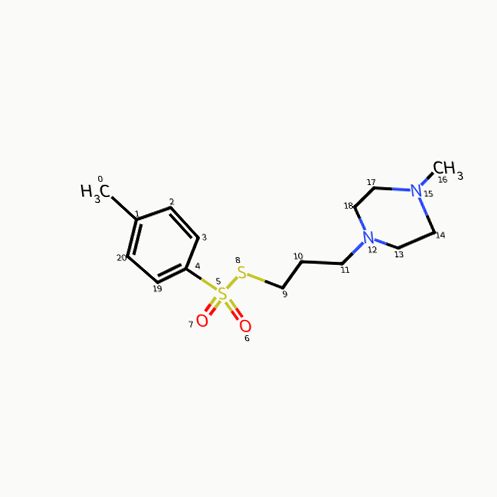 Cc1ccc(S(=O)(=O)SCCCN2CCN(C)CC2)cc1